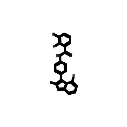 Cc1cc2cccc(F)n2c1-c1ccc(NC(=O)c2cccc(F)c2F)cc1